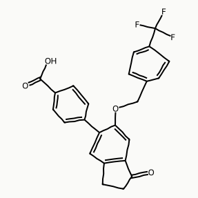 O=C(O)c1ccc(-c2cc3c(cc2OCc2ccc(C(F)(F)F)cc2)C(=O)CC3)cc1